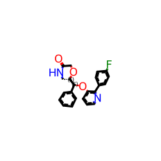 O=C1CO[C@H]([C@@H](Oc2cccnc2-c2ccc(F)cc2)c2ccccc2)CN1